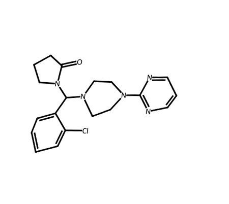 O=C1CCCN1C(c1ccccc1Cl)N1CCN(c2ncccn2)CC1